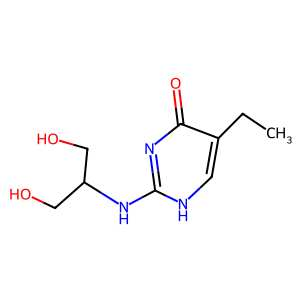 CCc1c[nH]c(NC(CO)CO)nc1=O